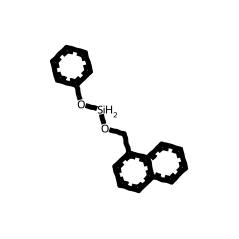 c1ccc(O[SiH2]OCc2cccc3ccccc23)cc1